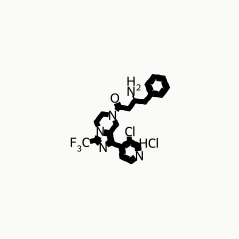 Cl.N[C@@H](CC(=O)N1CCn2c(C(F)(F)F)nc(-c3ccncc3Cl)c2C1)Cc1ccccc1